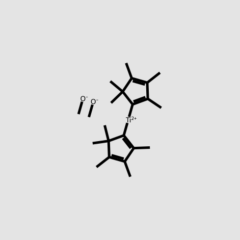 CC1=C(C)C(C)(C)[C]([Ti+2][C]2=C(C)C(C)=C(C)C2(C)C)=C1C.C[O-].C[O-]